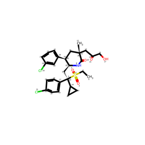 CCS(=O)(=O)[C@](C[C@@H]1NC(=O)[C@@](C)(CC(=O)CO)C[C@@H]1c1cccc(Cl)c1)(c1ccc(Cl)cc1)C1CC1